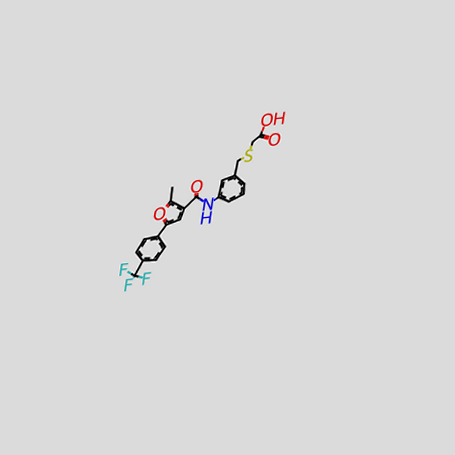 Cc1oc(-c2ccc(C(F)(F)F)cc2)cc1C(=O)Nc1cccc(CSCC(=O)O)c1